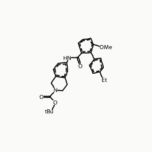 CCc1ccc(-c2c(OC)cccc2C(=O)Nc2ccc3c(c2)CCN(C(=O)OC(C)(C)C)C3)cc1